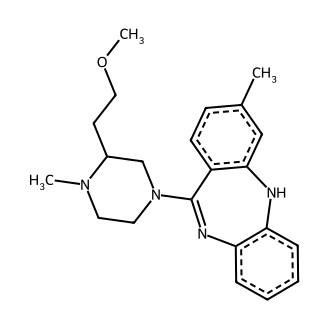 COCCC1CN(C2=Nc3ccccc3Nc3cc(C)ccc32)CCN1C